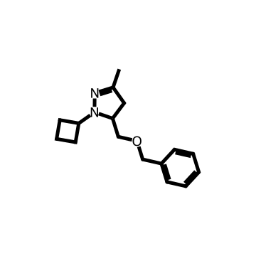 CC1=NN(C2CCC2)C(COCc2ccccc2)C1